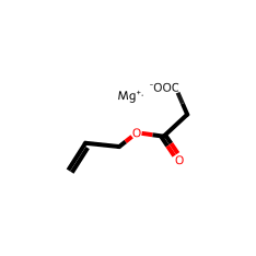 C=CCOC(=O)CC(=O)[O-].[Mg+]